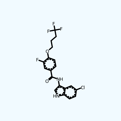 O=C(Nc1c[nH]c2ccc(Cl)cc12)c1ccc(OCCCC(F)(F)F)c(F)c1